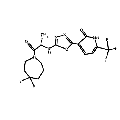 C[C@H](Nc1nnc(-c2ccc(C(F)(F)F)[nH]c2=O)o1)C(=O)N1CCCC(F)(F)CC1